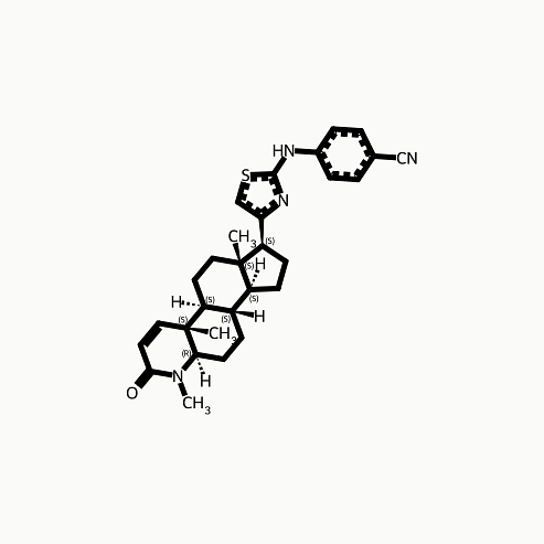 CN1C(=O)C=C[C@]2(C)[C@H]3CC[C@]4(C)[C@@H](c5csc(Nc6ccc(C#N)cc6)n5)CC[C@H]4[C@@H]3CC[C@@H]12